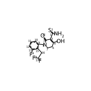 NC(=S)C1=C(O)CCN(c2cccc(F)c2CC(F)F)C1=O